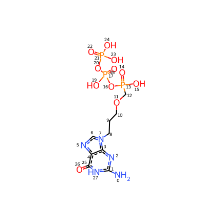 Nc1nc2c(ncn2CCCOCP(=O)(O)OP(=O)(O)OP(=O)(O)O)c(=O)[nH]1